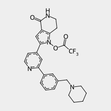 O=C1NCCc2c1cc(-c1ccnc(-c3cccc(CN4CCCCC4)c3)c1)n2OC(=O)C(F)(F)F